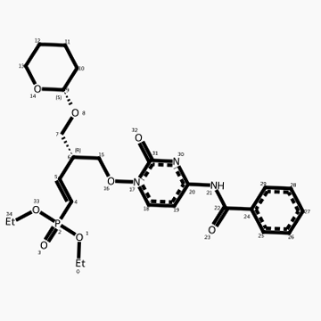 CCOP(=O)(C=C[C@H](CO[C@H]1CCCCO1)COn1ccc(NC(=O)c2ccccc2)nc1=O)OCC